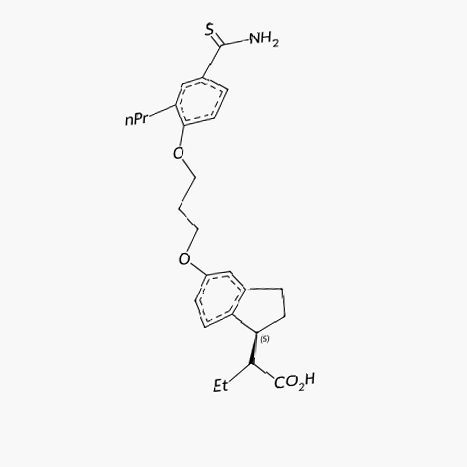 CCCc1cc(C(N)=S)ccc1OCCCOc1ccc2c(c1)CC[C@H]2C(CC)C(=O)O